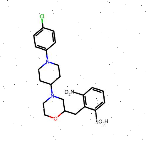 O=[N+]([O-])c1cccc(S(=O)(=O)O)c1CC1CN(C2CCN(c3ccc(Cl)cc3)CC2)CCO1